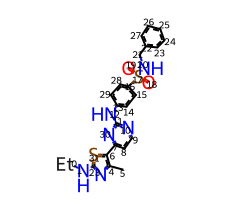 CCNc1nc(C)c(-c2ccnc(Nc3ccc(S(=O)(=O)NCc4ccccc4)cc3)n2)s1